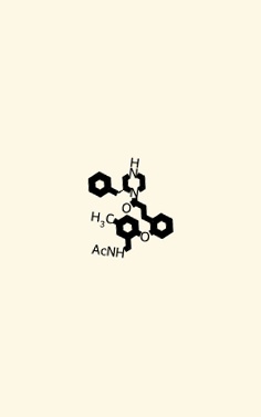 CC(=O)NCc1cc(C)ccc1Oc1ccccc1CCC(=O)N1CCNC[C@H]1Cc1ccccc1